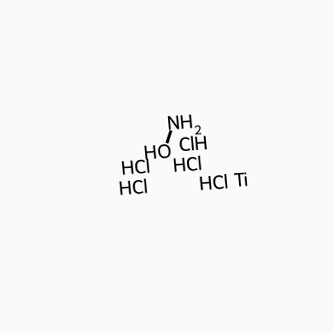 Cl.Cl.Cl.Cl.Cl.NO.[Ti]